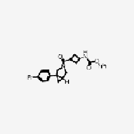 CCCOC(=O)N[C@H]1C[C@@H](C(=O)N2C[C@@H]3C[C@]3(c3ccc(C(C)C)cc3)C2)C1